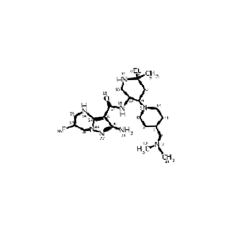 CCC1(C)CC(N2CCC(CN(C)C)CC2)C(NC(=O)c2c(N)nn3c2NCC(F)C3)CN1